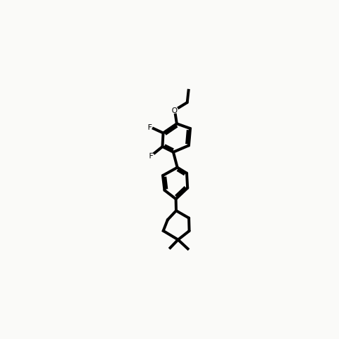 CCOc1ccc(-c2ccc(C3CCC(C)(C)CC3)cc2)c(F)c1F